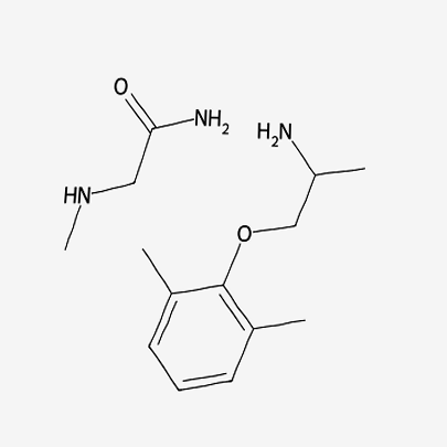 CNCC(N)=O.Cc1cccc(C)c1OCC(C)N